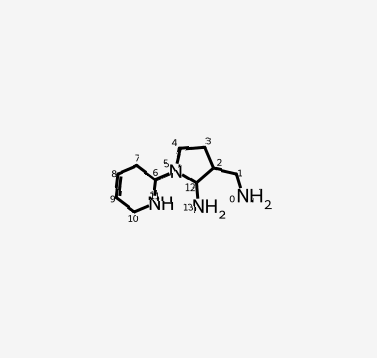 NCC1CCN(C2CC=CCN2)C1N